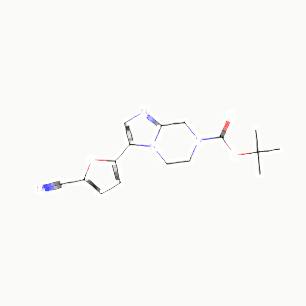 CC(C)(C)OC(=O)N1CCn2c(-c3ccc(C#N)o3)cnc2C1